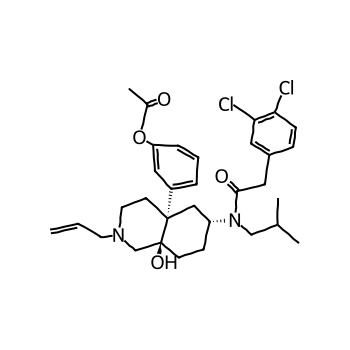 C=CCN1CC[C@@]2(c3cccc(OC(C)=O)c3)C[C@H](N(CC(C)C)C(=O)Cc3ccc(Cl)c(Cl)c3)CC[C@]2(O)C1